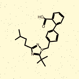 CC(C)CCc1nc(C(C)(C)C)n(Cc2ccc(-c3ccccc3C(=O)O)cc2)n1